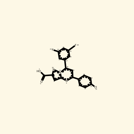 O=C(O)c1cc2nc(-c3ccc(Cl)cc3)cc(-c3cc(F)cc(F)c3)n2n1